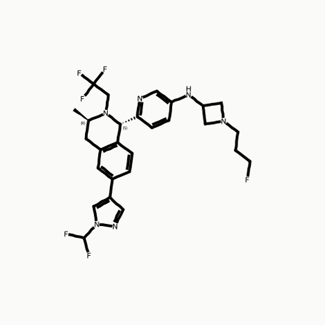 C[C@@H]1Cc2cc(-c3cnn(C(F)F)c3)ccc2[C@@H](c2ccc(NC3CN(CCCF)C3)cn2)N1CC(F)(F)F